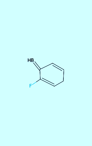 B=C1C=CCC=C1F